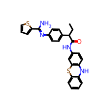 CCC(C(=O)Nc1ccc2c(c1)Sc1ccccc1N2)c1ccc(/N=C(\N)c2cccs2)cc1